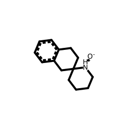 [O-][NH+]1CCCCC12CCc1ccccc1C2